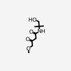 COCC(=O)CC(=O)NC(C)(C)CO